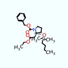 CCCC[Si](C)(C)O[C@H]1CCN(C(=O)OCc2ccccc2)[C@@H]1CC(=O)OCC